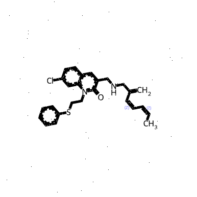 C=C(/C=C\C=C/C)CNCc1cc2ccc(Cl)cc2n(CCSc2ccccc2)c1=O